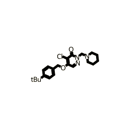 CC(C)(C)c1ccc(COc2cnn(CN3CCCCC3)c(=O)c2Cl)cc1